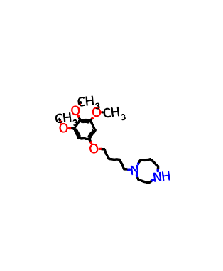 COc1cc(OCCCCN2CCCNCC2)cc(OC)c1OC